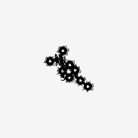 c1ccc(-c2ccc(-n3c4ccccc4c4c5c(ccc43)sc3ccc4c(c6ccccc6n4-c4nc(-c6ccccc6)nc(-c6ccccc6)n4)c35)cc2)cc1